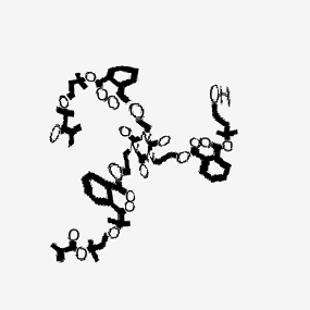 C=C(C)C(=O)OC(C)(C)CCOC(C)(C)C(=O)c1ccccc1C(=O)OCCn1c(=O)n(CCOC(=O)c2ccccc2C(=O)OC(C)(C)CCO)c(=O)n(CCOC(=O)c2ccccc2C(=O)OC(C)(C)CCOC(C)(C)C(=O)C(=C)C)c1=O